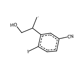 [CH2]C(CO)c1cc(C#N)ccc1I